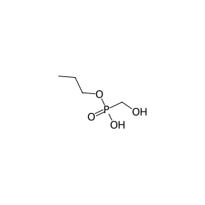 CCCOP(=O)(O)CO